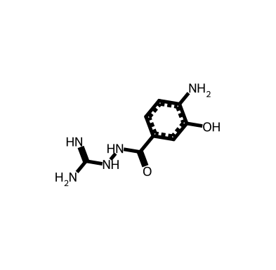 N=C(N)NNC(=O)c1ccc(N)c(O)c1